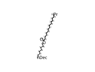 CCCCCCCCCCCCCCCCCOC(=O)CCCCCCCCCCCCCC(C)C